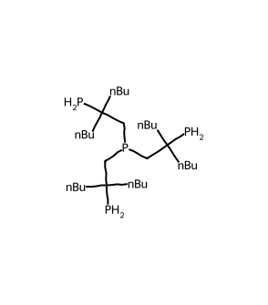 CCCCC(P)(CCCC)CP(CC(P)(CCCC)CCCC)CC(P)(CCCC)CCCC